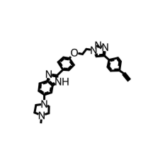 C#Cc1ccc(-c2cn(CCOc3ccc(-c4nc5ccc(N6CCN(C)CC6)cc5[nH]4)cc3)nn2)cc1